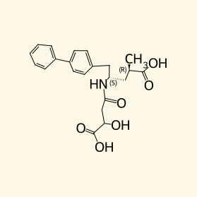 C[C@H](C[C@@H](Cc1ccc(-c2ccccc2)cc1)NC(=O)CC(O)C(=O)O)C(=O)O